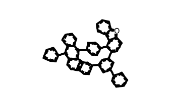 c1ccc(-c2cc(-c3ccccc3)cc(-c3ccc4oc5ccccc5c4c3-c3ccc(-c4c5ccccc5c(-c5ccccc5)c5ccccc45)cc3)c2)cc1